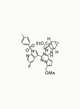 CCOC(=O)[C@H]1[C@H](Nc2nc(-c3cn(S(=O)(=O)c4ccc(C)cc4)c4ncc(F)cc34)nn3c(COC)ccc23)[C@@H]2CC[C@H]1C1CC12